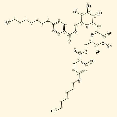 CCCCCCCOc1ccc(C(=O)OCC2OC(OC3OC(COC(=O)c4ccc(OCCCCCCC)cc4O)C(O)C(O)C3O)C(O)C(O)C2O)cc1